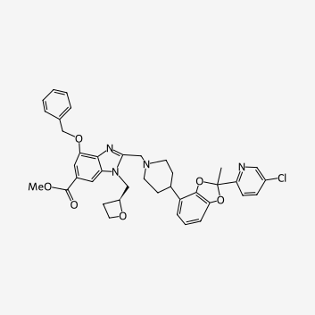 COC(=O)c1cc(OCc2ccccc2)c2nc(CN3CCC(c4cccc5c4OC(C)(c4ccc(Cl)cn4)O5)CC3)n(C[C@@H]3CCO3)c2c1